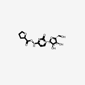 O=C(ONc1ccn([C@@H]2O[C@H](CO)[C@@H](O)[C@H]2O)c(=O)n1)C1CCCO1